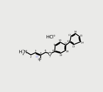 Cl.NC/C=C(\F)COc1ccc(-c2ccccc2)cc1